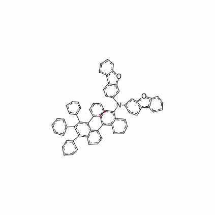 c1ccc(-c2c(-c3ccccc3)c(-c3ccccc3)c3c(-c4ccc(N(c5ccc6c(c5)oc5ccccc56)c5ccc6c(c5)oc5ccccc56)c5ccccc45)cccc3c2-c2ccccc2)cc1